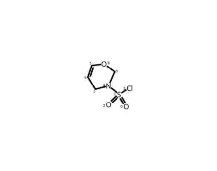 O=S(=O)(Cl)N1CC=COC1